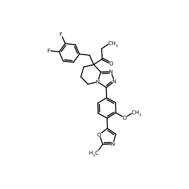 CCC(=O)C1(Cc2ccc(F)c(F)c2)CCCn2c(-c3ccc(-c4cnc(C)o4)c(OC)c3)nnc21